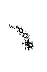 COc1ccc(C2=CCN(Cc3n[nH]c4c(Cl)cccc34)CC2)cc1